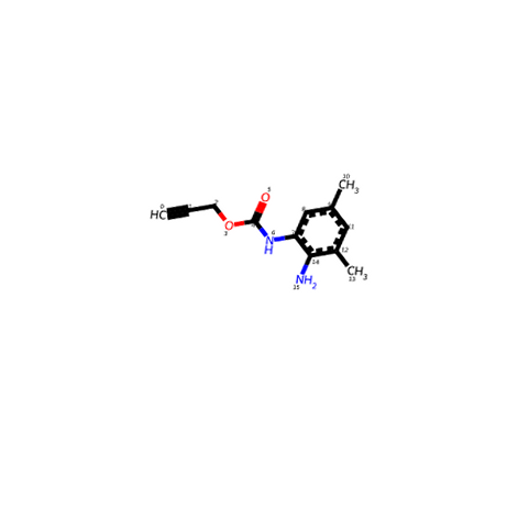 C#CCOC(=O)Nc1cc(C)cc(C)c1N